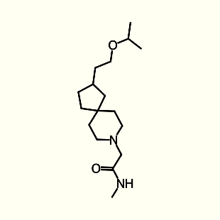 CNC(=O)CN1CCC2(CCC(CCOC(C)C)C2)CC1